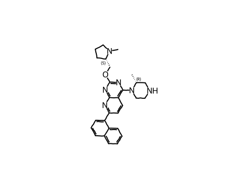 C[C@@H]1CNCCN1c1nc(OC[C@@H]2CCCN2C)nc2nc(-c3cccc4ccccc34)ccc12